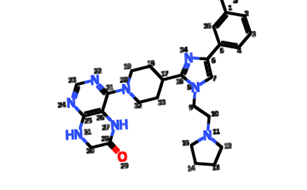 Cc1cccc(-c2cn(CCN3CCCC3)c(C3CCN(c4ncnc5c4NC(=O)CN5)CC3)n2)c1